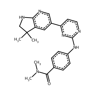 CN(C)C(=O)c1ccc(Nc2nccc(-c3cnc4c(c3)C(C)(C)CN4)n2)cc1